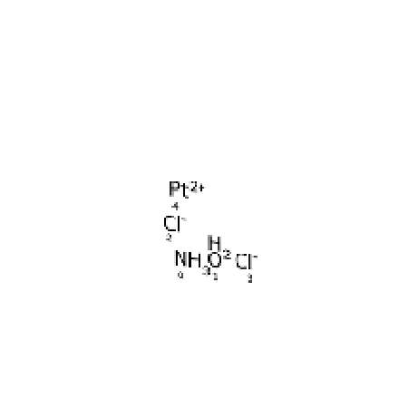 N.O.[Cl-].[Cl-].[Pt+2]